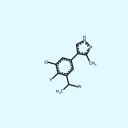 Cc1n[nH]cc1-c1cc(Cl)c(F)c(C(C)C(C)C)c1